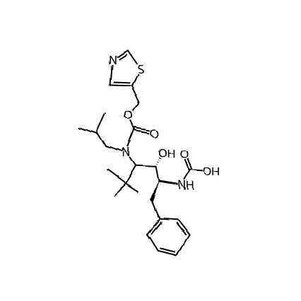 CC(C)CN(C(=O)OCc1cncs1)C([C@H](O)[C@H](Cc1ccccc1)NC(=O)O)C(C)(C)C